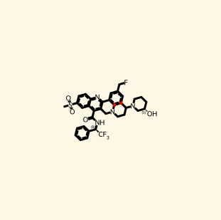 CS(=O)(=O)c1ccc2nc(-c3cccc(CF)c3)c(CN3CCC(N4CCC[C@H](O)C4)CC3)c(C(=O)N[C@H](c3ccccc3)C(F)(F)F)c2c1